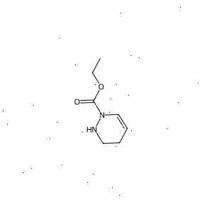 CCOC(=O)N1C=CCCN1